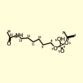 C=C(C)OP(=O)(O)OCCCCCCNC(C)=O